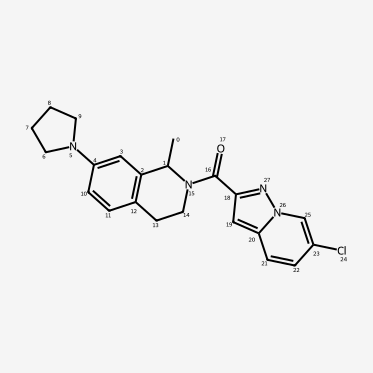 CC1c2cc(N3CCCC3)ccc2CCN1C(=O)c1cc2ccc(Cl)cn2n1